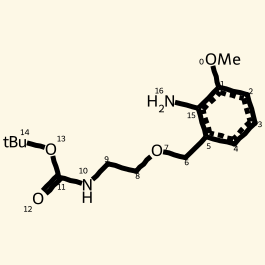 COc1cccc(COCCNC(=O)OC(C)(C)C)c1N